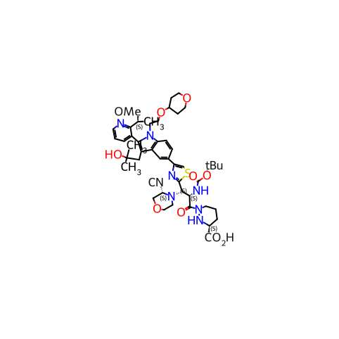 CO[C@@H](C)c1ncccc1-c1c(CC(C)(C)O)c2cc(-c3csc([C@H]([C@H](NC(=O)OC(C)(C)C)C(=O)N4CCC[C@@H](C(=O)O)N4)N4CCOC[C@@H]4C#N)n3)ccc2n1CCOC1CCOCC1